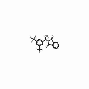 CC(c1cc(C(F)(F)F)cc(C(F)(F)F)c1)N1C(=O)c2ccccc2C1=O